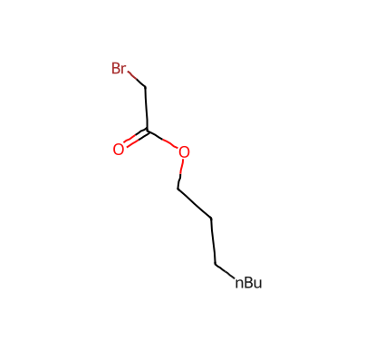 CCCCCCCOC(=O)CBr